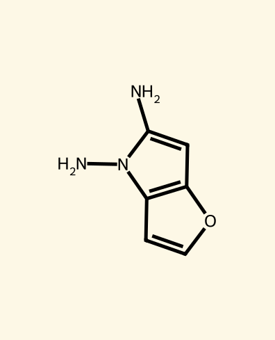 Nc1cc2occc2n1N